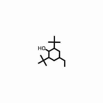 CCC1CC(C(C)(C)C)C(O)C(C(C)(C)C)C1